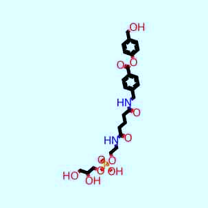 O=C(CCCC(=O)NCc1ccc(C(=O)Oc2ccc(CO)cc2)cc1)NCCOP(=O)(O)OCC(O)CO